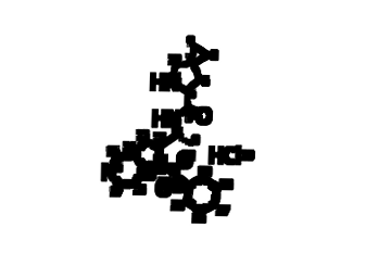 C[C@@H](NC(=O)[C@@H]1CC2(CC2)CN1)c1cc2cnccc2n1S(=O)(=O)c1ccccc1.Cl